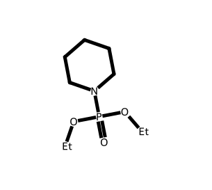 CCOP(=O)(OCC)N1CCCCC1